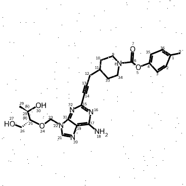 Cc1ccc(OC(=O)N2CCC(CC#Cc3nc(N)c4ncn(CO[C@H](CO)[C@@H](C)O)c4n3)CC2)cc1